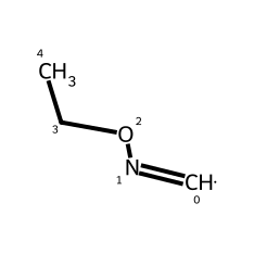 [CH]=NOCC